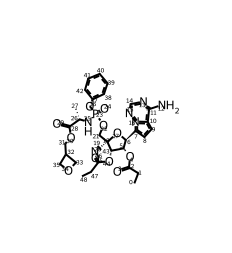 CCC(=O)O[C@H]1[C@H](c2ccc3c(N)ncnn23)O[C@](C#N)(CO[P@@](=O)(N[C@@H](C)C(=O)OCC2COC2)Oc2ccccc2)[C@H]1OC(=O)CC